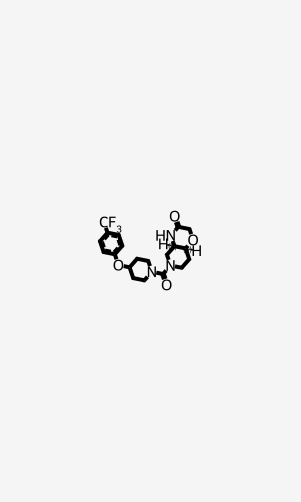 O=C1CO[C@H]2CCN(C(=O)N3CCC(Oc4ccc(C(F)(F)F)cc4)CC3)C[C@H]2N1